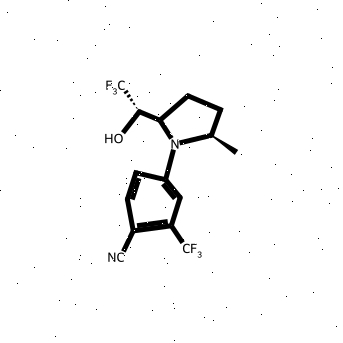 C[C@@H]1CCC([C@H](O)C(F)(F)F)N1c1ccc(C#N)c(C(F)(F)F)c1